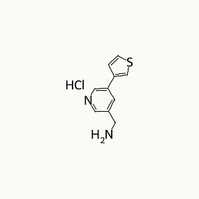 Cl.NCc1cncc(-c2ccsc2)c1